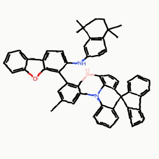 Cc1cc(-c2c(Nc3ccc4c(c3)C(C)(C)CCC4(C)C)ccc3c2oc2ccccc23)c2c(c1)N1c3ccccc3C3(c4ccccc4-c4ccccc43)c3cccc(c31)B2